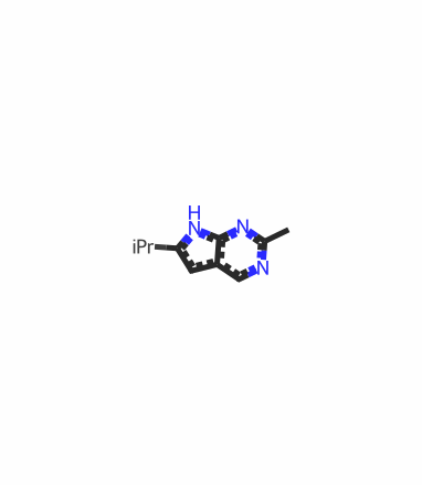 Cc1ncc2cc(C(C)C)[nH]c2n1